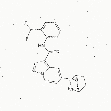 O=C(Nc1ccccc1C(F)F)c1cnn2ccc(N3CC4CCC3CN4)nc12